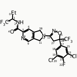 CCC(NC(=O)c1cc2c(cn1)CN(C1=NOC(c3cc(Cl)c(F)c(Cl)c3)(C(F)(F)F)C1)C2)C(F)(F)F